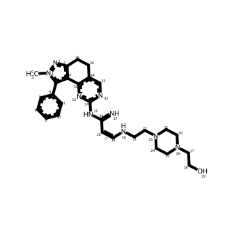 Cn1nc2c(c1-c1ccccc1)-c1nc(NC(=N)/C=C\NCCN3CCN(CCO)CC3)ncc1CC2